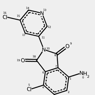 Nc1ccc(Cl)c2c1C(=O)N(c1cncc(Cl)c1)C2=O